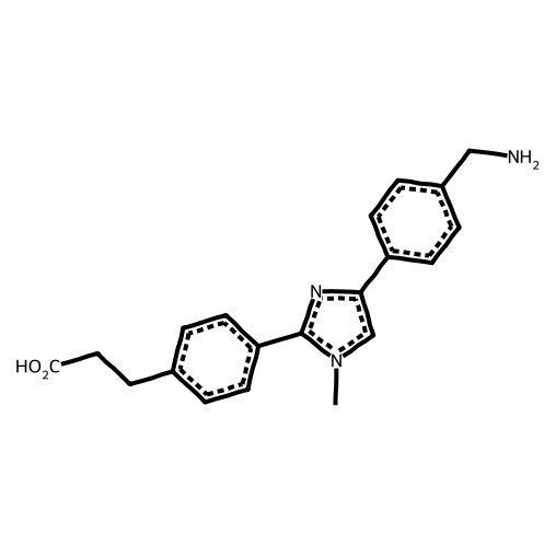 Cn1cc(-c2ccc(CN)cc2)nc1-c1ccc(CCC(=O)O)cc1